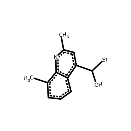 CCC(O)c1cc(C)nc2c(C)cccc12